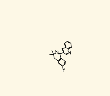 CC1(C)Cc2cc(F)ccc2C(c2cnc3ccccc3c2)=N1